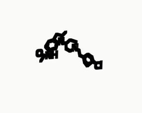 CC(=O)Nc1ccc2c(c1)N(C1CCN(CCc3ccc(Cl)cc3)CC1)C(C)C2